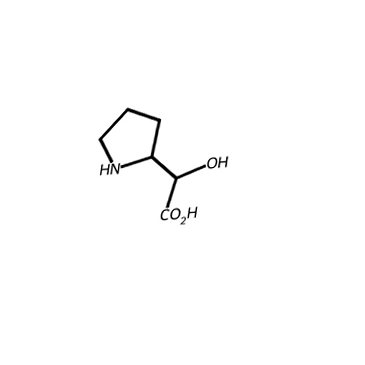 O=C(O)C(O)C1CCCN1